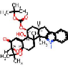 CC(C)(C)OC(=O)O[C@H]1C[C@H]2Cc3c([nH]c4ccccc34)[C@]2(C)C2(C)CC[C@@]34O[C@@H](C(=O)C=C3[C@]12O)C(C)(C)O4